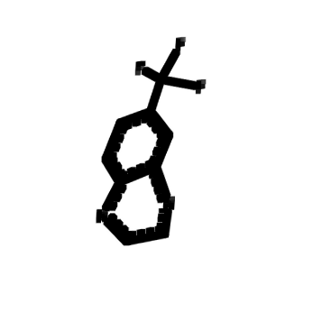 FC(F)(F)c1ccc2nccnc2c1